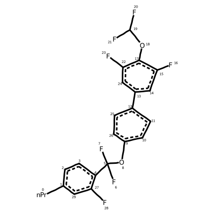 CCCc1ccc(C(F)(F)Oc2ccc(-c3cc(F)c(OC(F)F)c(F)c3)cc2)c(F)c1